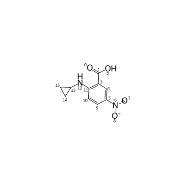 O=C(O)c1cc([N+](=O)[O-])ccc1NC1CC1